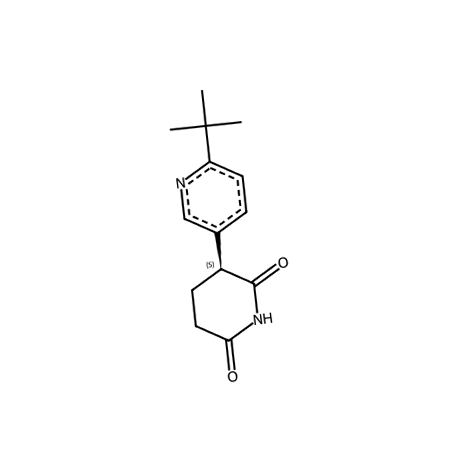 CC(C)(C)c1ccc([C@@H]2CCC(=O)NC2=O)cn1